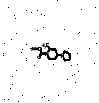 CC1CC(N2CCCC2)CCN1C(=O)OC(C)(C)C